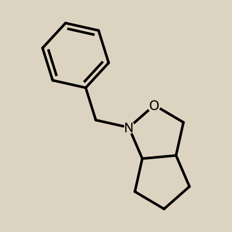 c1ccc(CN2OCC3CCCC32)cc1